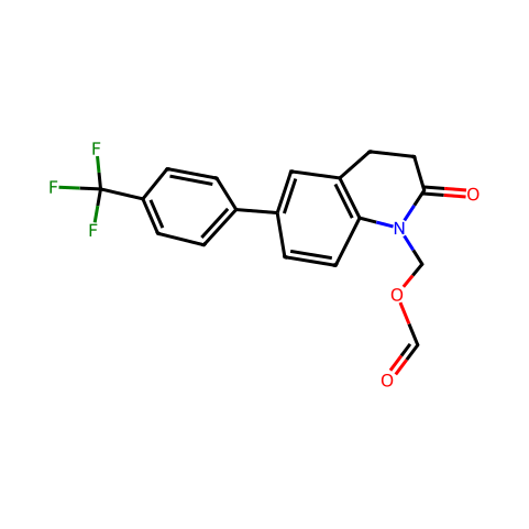 O=COCN1C(=O)CCc2cc(-c3ccc(C(F)(F)F)cc3)ccc21